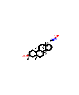 C[C@@]1(O)CCC2[C@@H](CC[C@@H]3[C@@H]2CC[C@]2(C)[C@@H](/C=N/O)CC[C@@H]32)C1